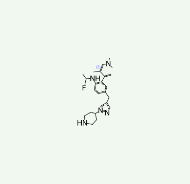 C=C(/C(C)=C\N(C)C)c1cc(Cc2cnn(C3CCNCC3)c2)ccc1NC(C)F